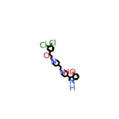 O=C(/C=C/N1CCC(CCN2CCC(c3c[nH]c4cccc(O)c34)CC2)CC1)c1ccc(Cl)c(Cl)c1